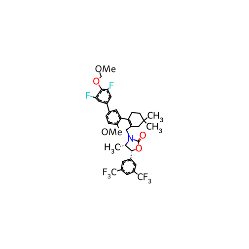 COCOc1c(F)cc(-c2ccc(OC)c(C3=C(CN4C(=O)O[C@H](c5cc(C(F)(F)F)cc(C(F)(F)F)c5)[C@@H]4C)CC(C)(C)CC3)c2)cc1F